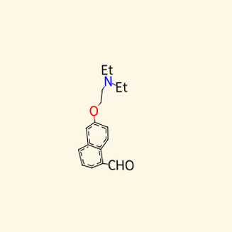 CCN(CC)CCOc1ccc2c(C=O)cccc2c1